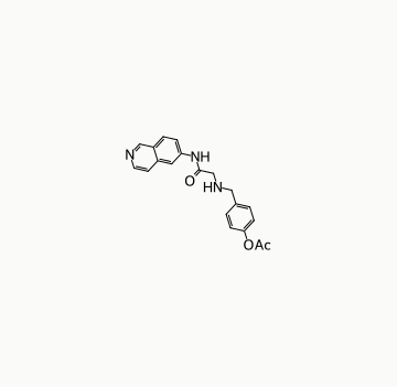 CC(=O)Oc1ccc(CNCC(=O)Nc2ccc3cnccc3c2)cc1